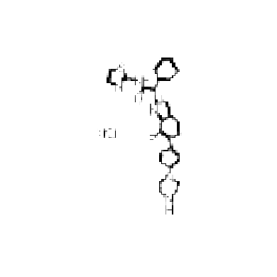 Cl.O=C(Nc1nccs1)[C@@H](c1ccccc1)n1cc2ccc(-c3ccc(N4CCNCC4)cc3)c(F)c2n1